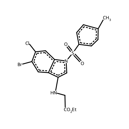 CCOC(=O)CNc1cn(S(=O)(=O)c2ccc(C)cc2)c2cc(Cl)c(Br)cc12